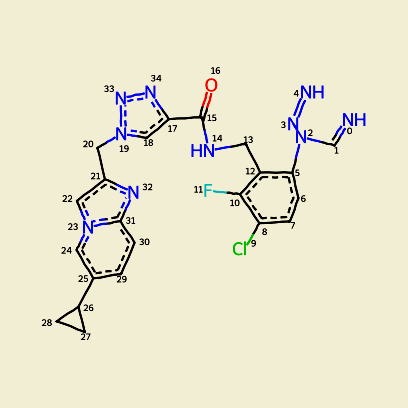 N=CN(N=N)c1ccc(Cl)c(F)c1CNC(=O)c1cn(Cc2cn3cc(C4CC4)ccc3n2)nn1